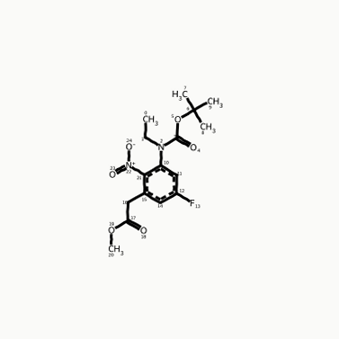 CCN(C(=O)OC(C)(C)C)c1cc(F)cc(CC(=O)OC)c1[N+](=O)[O-]